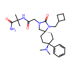 CN(C)[C@]1(c2ccccc2)CC[C@]2(CC1)CN(CC(=O)NC(C)(C)C(N)=O)C(=O)N2CC1CCC1